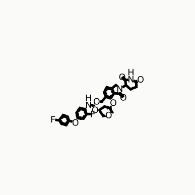 O=C1CCC(N2Cc3ccc(COC(=O)Nc4ccc(Oc5ccc(F)cc5)cc4F)c(O[C@@H]4CCCOC4)c3C2=O)C(=O)N1